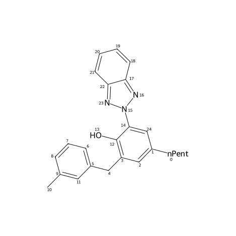 CCCCCc1cc(Cc2cccc(C)c2)c(O)c(-n2nc3ccccc3n2)c1